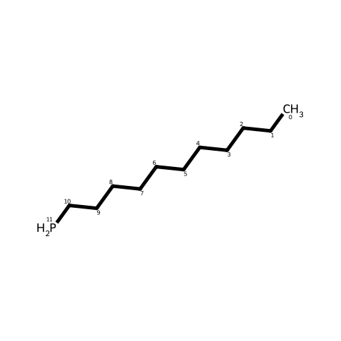 CCCCCCCCCCCP